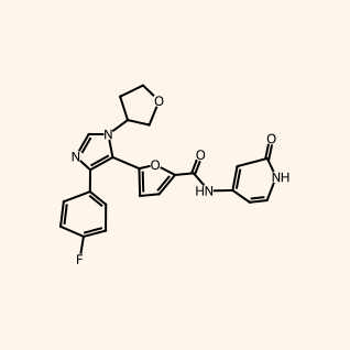 O=C(Nc1cc[nH]c(=O)c1)c1ccc(-c2c(-c3ccc(F)cc3)ncn2C2CCOC2)o1